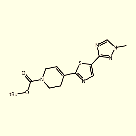 Cn1cnc(-c2cnc(C3=CCN(C(=O)OC(C)(C)C)CC3)s2)n1